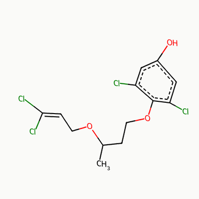 CC(CCOc1c(Cl)cc(O)cc1Cl)OCC=C(Cl)Cl